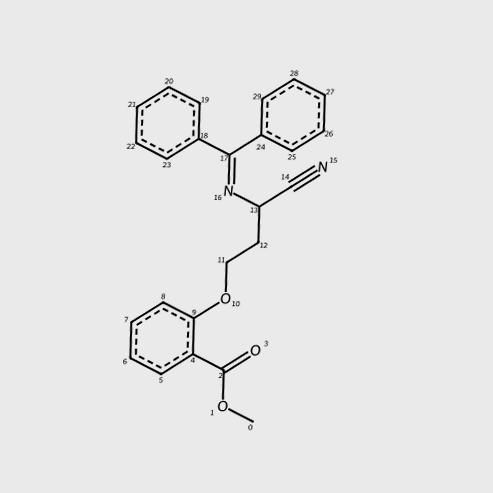 COC(=O)c1ccccc1OCCC(C#N)N=C(c1ccccc1)c1ccccc1